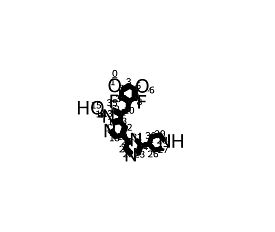 COc1cc(OC)c(F)c(Cc2cn(CO)c3ncc(-c4cncc(C5CCNCC5)n4)cc23)c1F